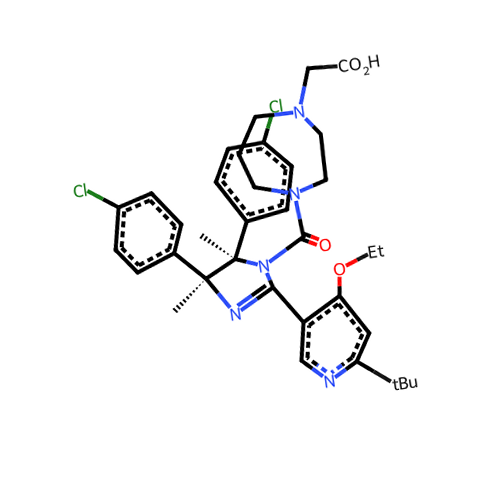 CCOc1cc(C(C)(C)C)ncc1C1=N[C@@](C)(c2ccc(Cl)cc2)[C@@](C)(c2ccc(Cl)cc2)N1C(=O)N1CCCN(CC(=O)O)CC1